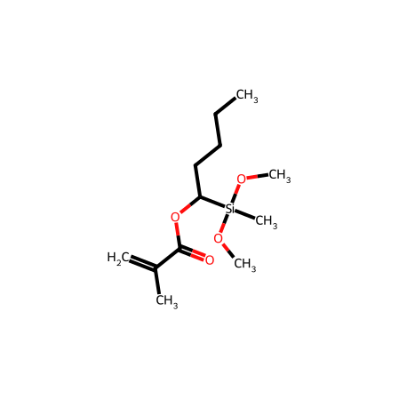 C=C(C)C(=O)OC(CCCC)[Si](C)(OC)OC